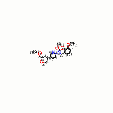 CCCCOCC1CC(c2ccc(N(Cc3cccc(OC(F)(F)F)c3)C(=O)OC(C)(C)C)nc2)CCO1